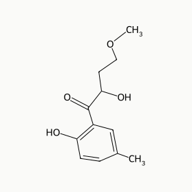 COCCC(O)C(=O)c1cc(C)ccc1O